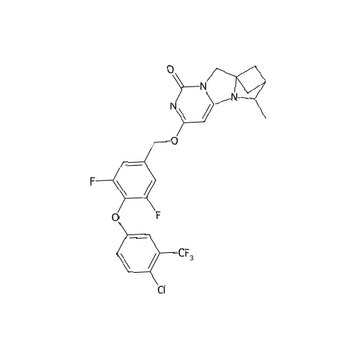 CC1C2CC3(C2)Cn2c(cc(OCc4cc(F)c(Oc5ccc(Cl)c(C(F)(F)F)c5)c(F)c4)nc2=O)N13